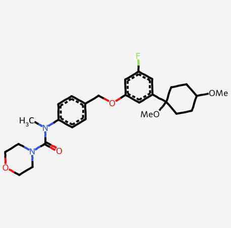 COC1CCC(OC)(c2cc(F)cc(OCc3ccc(N(C)C(=O)N4CCOCC4)cc3)c2)CC1